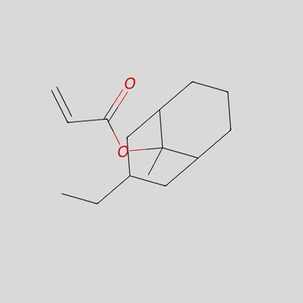 C=CC(=O)OC1(C)C2CCCC1CC(CC)C2